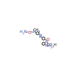 CN(CCOCCN)c1ccc(/N=N/c2ccc(C(=O)N(CC(=O)O)c3ccccc3N)cc2)cc1